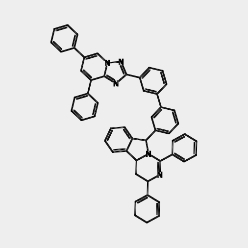 C1=CC(C2CC3c4ccccc4C(c4cccc(-c5cccc(-c6nc7c(-c8ccccc8)cc(-c8ccccc8)cn7n6)c5)c4)N3C(c3ccccc3)=N2)=CCC1